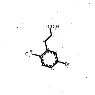 O=C(O)CCc1cc(Br)ccc1[N+](=O)[O-]